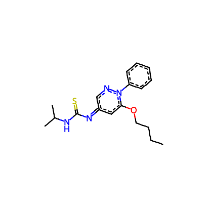 CCCCOc1cc(=NC(=S)NC(C)C)cnn1-c1ccccc1